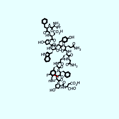 CCCC[C@@H](C(=O)N1C[C@H](O)C[C@@H]1C(=O)N[C@H](C=O)CC(=O)O)N(C)C(=O)[C@H](Cc1ccccc1)N(C)C(=O)[C@H](Cc1cc(F)c(F)c(F)c1)NC(=O)CSC[C@H](NC(=O)[C@H](CCC(N)=O)NC(=O)[C@H](Cc1ccc(O)cc1)NC(=O)[C@H](Cc1c[nH]c2ccccc12)NC(=O)[C@H]1C[C@@H](O)CN1C(=O)[C@H](CC(=O)O)NCC(=O)C(Cc1ccccc1)N(C)C(=O)[C@@H](N)C(C)C)C(=O)NCC(N)=O